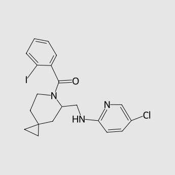 O=C(c1ccccc1I)N1CCC2(CC2)CC1CNc1ccc(Cl)cn1